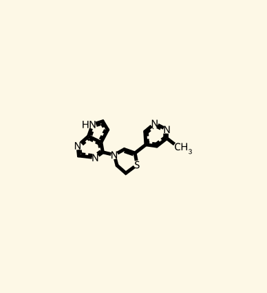 Cc1cc(C2=CN(c3ncnc4[nH]ccc34)CCS2)cnn1